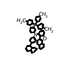 Cc1ccc([Si](c2ccc(C)cc2)(c2ccc(C)cc2)c2cccc(N(c3ccc(-c4cccc5ccccc45)cc3)c3cccc4oc5c6ccccc6ccc5c34)c2)cc1